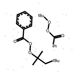 CC(C)(C)CC(C)(C)OOC(=O)c1ccccc1.CC(C)C(=O)OOC(C)(C)C